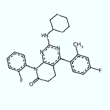 Cc1cc(F)ccc1-c1nc(NC2CCCCC2)nc2c1CCC(=O)N2c1ccccc1F